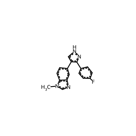 Cn1cnc2cc(-c3c[nH]nc3-c3ccc(F)cc3)ccc21